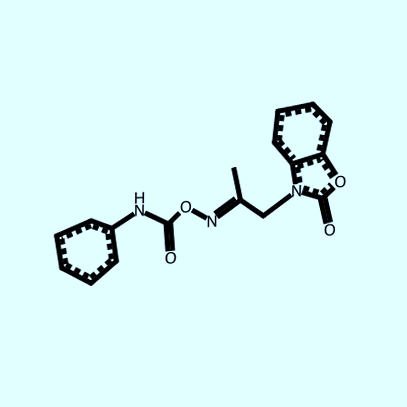 C/C(Cn1c(=O)oc2ccccc21)=N\OC(=O)Nc1ccccc1